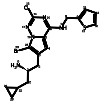 N[C@H](Cc1cc2c(NCc3cccs3)nc(Cl)nn2c1Br)CC1CC1